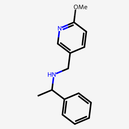 COc1ccc(CNC(C)c2ccccc2)cn1